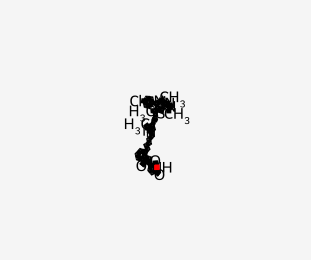 Cc1nn(CCCCCc2cccc3c2CN(C2CCC(=O)NC2=O)C3=O)cc1C#Cc1sc2c(c1C)C(c1ccc(Cl)cc1)=N[C@@H](C)c1nnc(C)n1-2